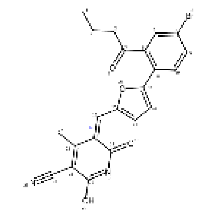 CCCC(=O)c1cc(Br)ccc1-c1ccc(/C=C2\C(=O)N=C(O)C(C#N)=C2C)o1